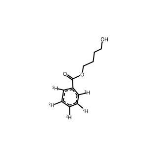 [2H]c1c([2H])c([2H])c(C(=O)OCCCCO)c([2H])c1[2H]